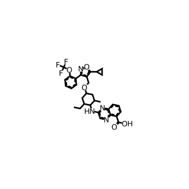 CCC1CC(OCc2c(-c3ccccc3OC(F)(F)F)noc2C2CC2)CC(C)C1Nc1cnc2c(C(=O)O)cccc2n1